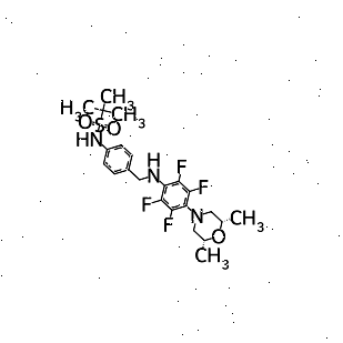 C[C@@H]1CN(c2c(F)c(F)c(NCc3ccc(NS(=O)(=O)C(C)(C)C)cc3)c(F)c2F)C[C@H](C)O1